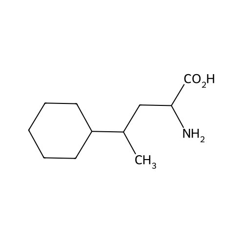 CC(CC(N)C(=O)O)C1CCCCC1